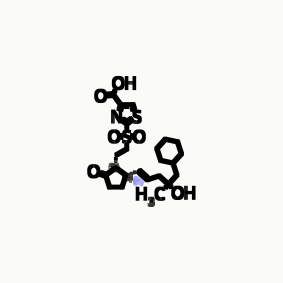 CC(O)(C/C=C/[C@@H]1CCC(=O)[C@@H]1CCS(=O)(=O)c1nc(C(=O)O)cs1)CC1CCCCC1